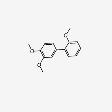 COc1ccc(-c2c[c]ccc2OC)cc1OC